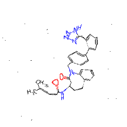 CC(C)=CC(=O)N[C@@H]1CCc2ccccc2N(Cc2ccc(-c3ccccc3-c3nnn[nH]3)cc2)C1=O